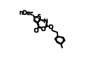 CCCCCCCCCCc1cc2c(=O)oc(OCCc3ccc(C)cc3)nc2s1